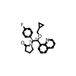 O=C1CCCN1[C@@H](c1ccc(F)cc1)[C@@H](OCC1CC1)c1cccc2cccnc12